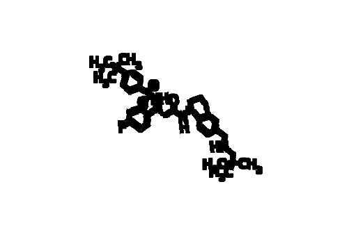 CC(C)(C)CNCc1ccc2c(c1)CCC[C@H]2NC(=O)C[C@@H](NS(=O)(=O)c1ccc(C(C)(C)C)cc1)c1ccc(F)cc1